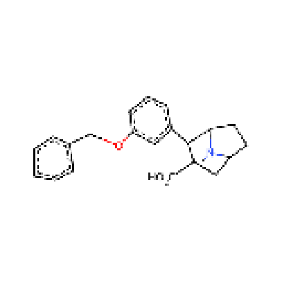 CN1C2CCC1C(c1cccc(OCc3ccccc3)c1)C(C(=O)O)C2